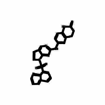 O=C1CCc2cc(Nc3ncc4ccn(S(=O)(=O)c5cccc6cccnc56)c4n3)ccc2N1